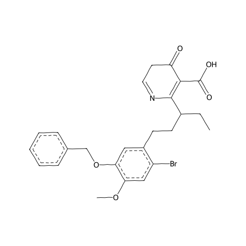 CCC(CCc1cc(OCc2ccccc2)c(OC)cc1Br)C1=C(C(=O)O)C(=O)CC=N1